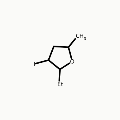 CCC1OC(C)CC1I